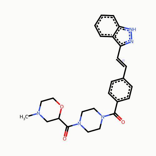 CN1CCOC(C(=O)N2CCN(C(=O)c3ccc(/C=C/c4n[nH]c5ccccc45)cc3)CC2)C1